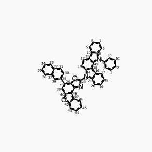 c1ccc(-n2c3ccccc3c3ccc4c(c5ccccc5n4-c4nc5c(o4)c(-c4ccc6ccccc6c4)cc4oc6ccccc6c45)c32)cc1